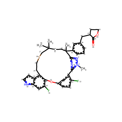 Cn1nc2nc1-c1cc(ccc1F)Oc1c(F)cc3[nH]ccc3c1CCSCC(C)(C)CCC2(C)c1cccc(CC2CCOC2=O)c1